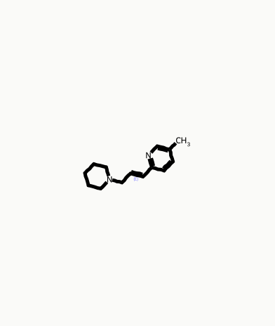 Cc1ccc(/C=C/CN2CCCCC2)nc1